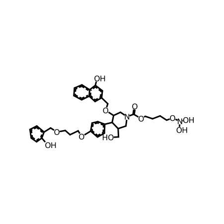 O=C(OCCCCON(O)O)N1CC(CO)C(c2ccc(OCCCOCc3ccccc3O)cc2)C(OCc2cc(O)c3ccccc3c2)C1